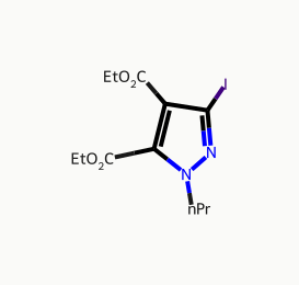 CCCn1nc(I)c(C(=O)OCC)c1C(=O)OCC